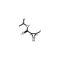 CC(C)OC(=O)C1NC1C